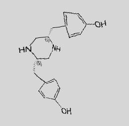 Oc1ccc(C[C@H]2CN[C@@H](Cc3ccc(O)cc3)CN2)cc1